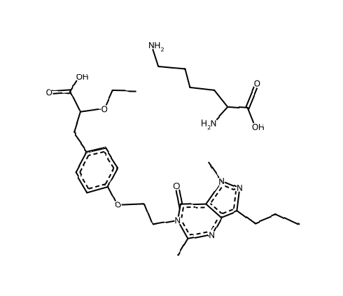 CCCc1nn(C)c2c(=O)n(CCOc3ccc(CC(OCC)C(=O)O)cc3)c(C)nc12.NCCCCC(N)C(=O)O